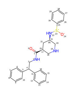 O=C(NCC(c1ccccc1)c1ccccc1)[C@@H]1CNC[C@H](N[S+]([O-])c2ccccc2)C1